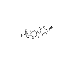 N#Cc1ccc(-c2ccc(OC(F)F)cc2)cc1